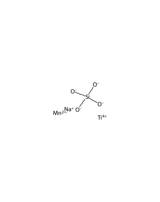 [Mn+2].[Na+].[O-][Si]([O-])([O-])[O-].[Ti+4]